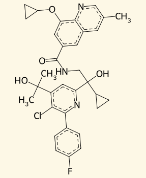 Cc1cnc2c(OC3CC3)cc(C(=O)NCC(O)(c3cc(C(C)(C)O)c(Cl)c(-c4ccc(F)cc4)n3)C3CC3)cc2c1